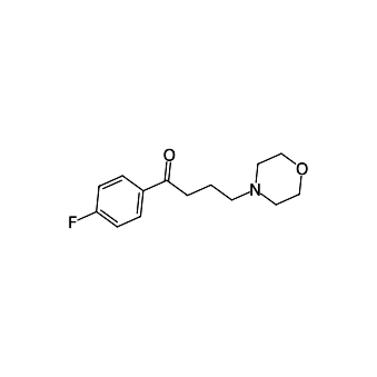 O=C(CCCN1CCOCC1)c1ccc(F)cc1